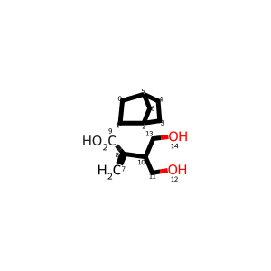 C1CC2CCC1C2.C=C(C(=O)O)C(CO)CO